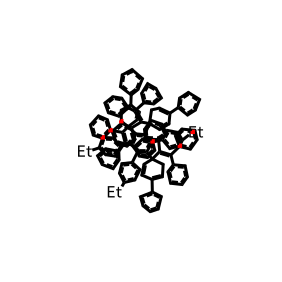 CCc1ccc(-c2c(-c3ccc(CC)cc3)c(C3(C(=C(c4ccccc4)c4ccccc4)c4ccccc4)C=CC(c4ccccc4)=CC3)c(C3(C(=C(c4ccccc4)c4ccccc4)c4ccccc4)C=CC(c4ccccc4)=CC3)c(-c3ccc(CC)cc3)c2C2(C(=C(c3ccccc3)c3ccccc3)c3ccccc3)C=CC(c3ccccc3)=CC2)cc1